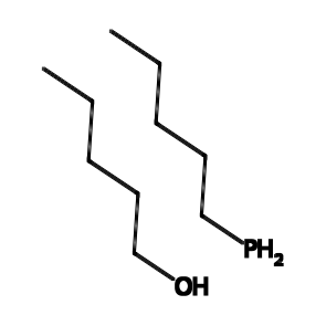 CCCCCO.CCCCCP